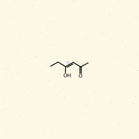 CC/C(O)=C/C(C)=O